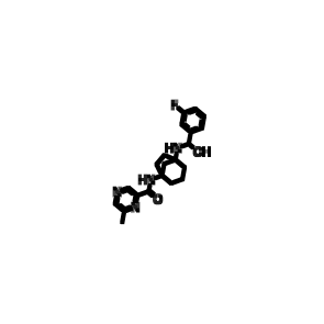 Cc1cncc(C(=O)NC23CCCC(NC(O)c4cccc(F)c4)(CC2)C3)n1